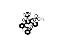 N#Cc1c(F)cccc1-c1cc(-c2ncccc2OCc2ccccc2)c(COC(=O)O)n(-c2cncnc2)c1=O